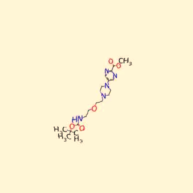 COC(=O)c1ncc(N2CCN(CCOCCNC(=O)OC(C)(C)C)CC2)cn1